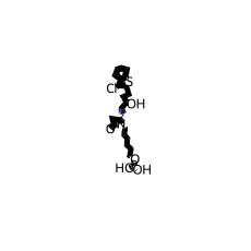 O=C1C[C@H](/C=C/C(O)CCc2sc3ccccc3c2Cl)N1CCCCCCOP(O)O